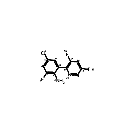 Nc1c(F)cc(Cl)cc1-c1ncc(F)cc1F